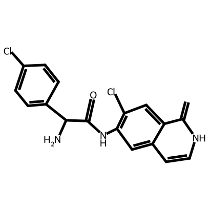 C=C1NC=Cc2cc(NC(=O)C(N)c3ccc(Cl)cc3)c(Cl)cc21